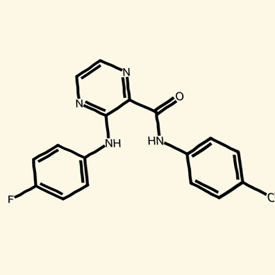 O=C(Nc1ccc(Cl)cc1)c1nccnc1Nc1ccc(F)cc1